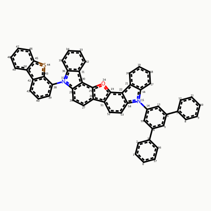 c1ccc(-c2cc(-c3ccccc3)cc(-n3c4ccccc4c4c5oc6c(ccc7c6c6ccccc6n7-c6cccc7c6sc6ccccc67)c5ccc43)c2)cc1